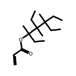 C=CC(=O)OC(C)(CC)C(C)(CC)C(C)(CC)CC